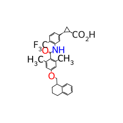 Cc1cc(OCC2CCCc3ccccc32)cc(C)c1C(=O)Nc1cc([C@H]2C[C@H]2C(=O)O)ccc1C(F)(F)F